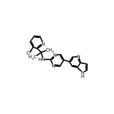 CC(C)(Nc1ncc(-c2cnc3cc[nH]c3c2)cn1)c1ncccc1Cl